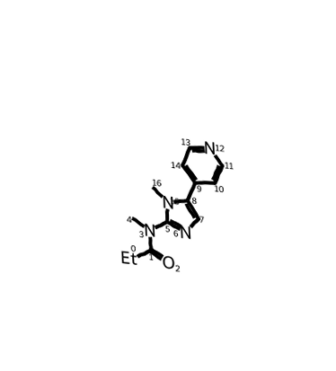 CCC(=O)N(C)c1ncc(-c2ccncc2)n1C